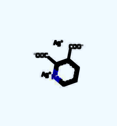 O=C([O-])c1cccnc1C(=O)[O-].[Ag+].[Ag+]